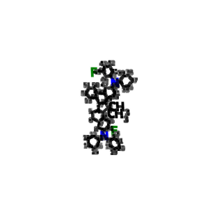 CC1(C)c2c(ccc3cc(N(c4ccccc4)c4ccccc4F)ccc23)-c2c1c1ccc(N(c3ccccc3)c3cccc(F)c3)cc1c1ccccc21